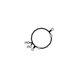 O=C1CCCCCCC(O)(O)C(=O)OCCCCO1